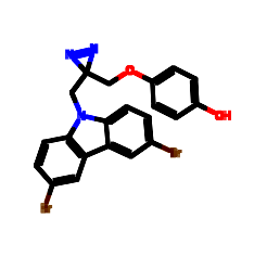 Oc1ccc(OCC2(Cn3c4ccc(Br)cc4c4cc(Br)ccc43)N=N2)cc1